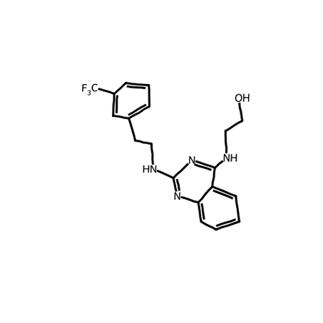 OCCNc1nc(NCCc2cccc(C(F)(F)F)c2)nc2ccccc12